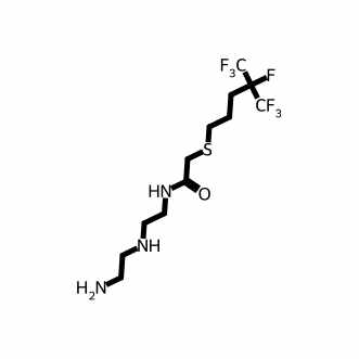 NCCNCCNC(=O)CSCCCC(F)(C(F)(F)F)C(F)(F)F